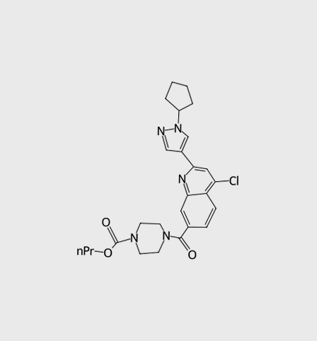 CCCOC(=O)N1CCN(C(=O)c2ccc3c(Cl)cc(-c4cnn(C5CCCC5)c4)nc3c2)CC1